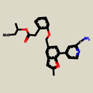 COCC(C)OC(=O)Cc1ccccc1OCc1cc(-c2ccnc(CN)c2)c2oc(C)cc2c1